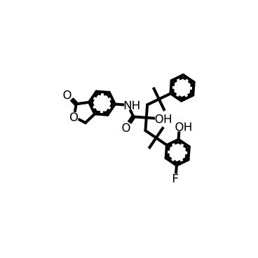 CC(C)(CC(O)(CC(C)(C)c1cc(F)ccc1O)C(=O)Nc1ccc2c(c1)COC2=O)c1ccccc1